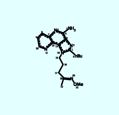 CCCCc1nc2c(N)nc3cccnc3c2n1CCCC(C)=NOC